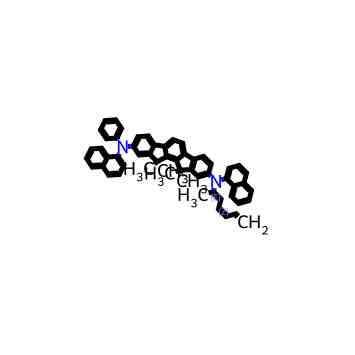 C=C/C=C\C=C(/C)N(c1ccc2c(c1)C(C)(C)c1c-2ccc2c1C(C)(C)c1cc(N(c3ccccc3)c3cccc4ccccc34)ccc1-2)c1cccc2ccccc12